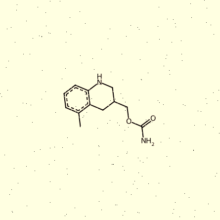 Cc1cccc2c1CC(COC(N)=O)CN2